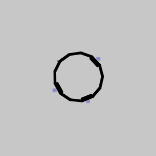 [CH]1C/C=C\C/C=C\CC/C=C\CC1